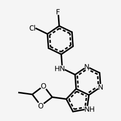 CC1OC(c2c[nH]c3ncnc(Nc4ccc(F)c(Cl)c4)c23)O1